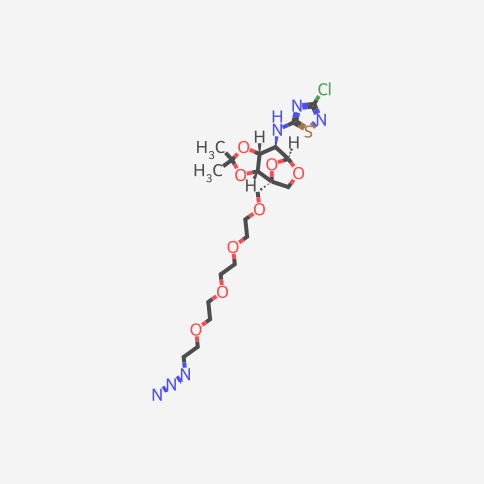 CC1(C)O[C@@H]2[C@@H](Nc3nc(Cl)ns3)[C@H]3OC[C@](COCCOCCOCCOCCN=[N+]=[N-])(O3)[C@@H]2O1